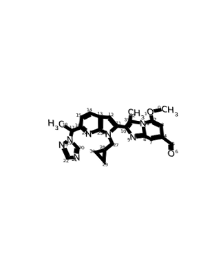 COc1cc(C=O)cc2nc(-c3cc4ccc(C(C)n5cncn5)nc4n3CC3CC3)c(C)n12